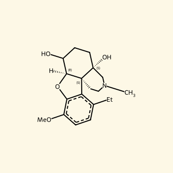 CCc1ccc(OC)c2c1[C@]13CCN(C)C[C@]1(O)CCC(O)[C@@H]3O2